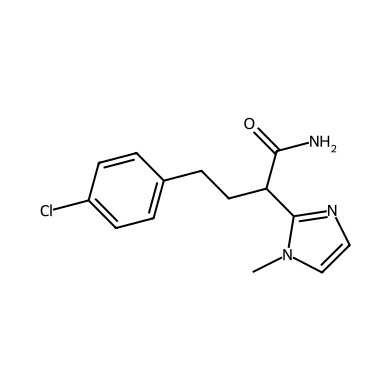 Cn1ccnc1C(CCc1ccc(Cl)cc1)C(N)=O